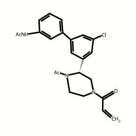 C=CC(=O)N1CCN(C(C)=O)[C@H](c2cc(Cl)cc(-c3cccc(NC(C)=O)c3)c2)C1